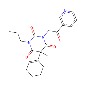 CCCN1C(=O)N(CC(=O)c2cccnc2)C(=O)C(C)(C2=CCCCC2)C1=O